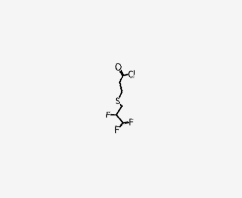 O=C(Cl)CCSCC(F)C(F)F